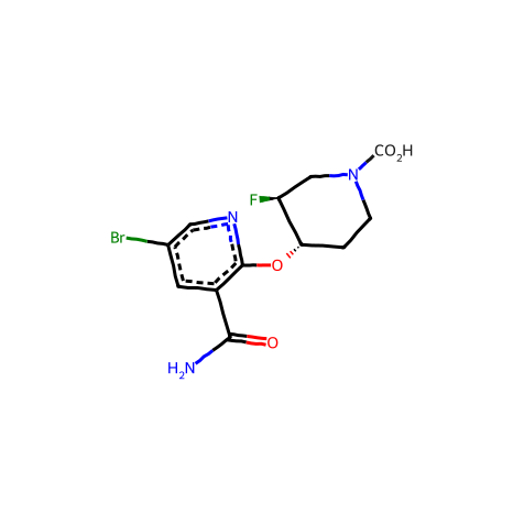 NC(=O)c1cc(Br)cnc1O[C@H]1CCN(C(=O)O)C[C@@H]1F